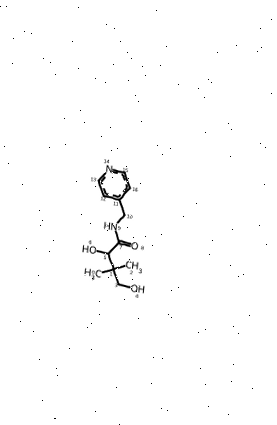 CC(C)(CO)C(O)C(=O)NCc1ccncc1